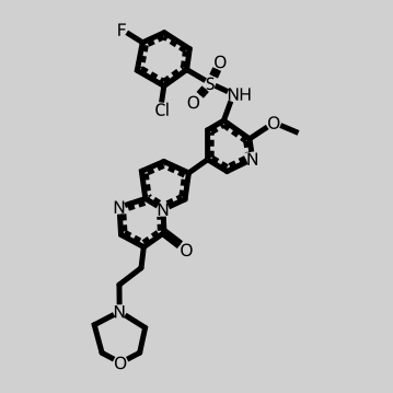 COc1ncc(-c2ccc3ncc(CCN4CCOCC4)c(=O)n3c2)cc1NS(=O)(=O)c1ccc(F)cc1Cl